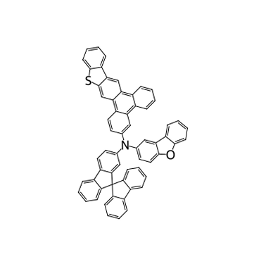 c1ccc2c(c1)-c1ccccc1C21c2ccccc2-c2ccc(N(c3ccc4oc5ccccc5c4c3)c3ccc4c(c3)c3ccccc3c3cc5c(cc43)sc3ccccc35)cc21